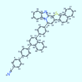 N#Cc1ccc(-c2ccc(-c3ccc(-c4ccc(-c5cc6c7ccc8ccccc8c7sc6c6nc7ccccc7n56)cc4)c4ccccc34)cc2)cc1